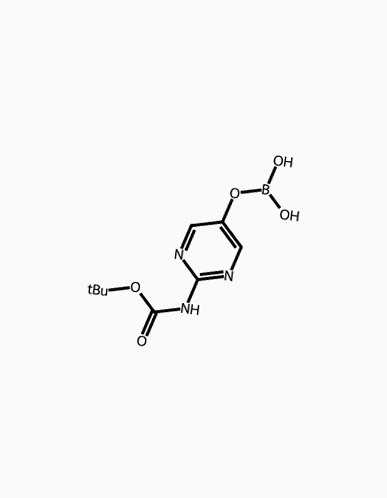 CC(C)(C)OC(=O)Nc1ncc(OB(O)O)cn1